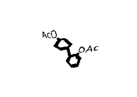 CC(=O)Oc1ccc(-c2ccccc2OC(C)=O)cc1